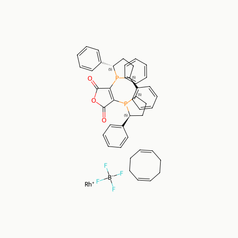 C1=CCCC=CCC1.F[B-](F)(F)F.O=C1OC(=O)C(P2[C@H](c3ccccc3)CC[C@H]2c2ccccc2)=C1P1[C@H](c2ccccc2)CC[C@H]1c1ccccc1.[Rh+]